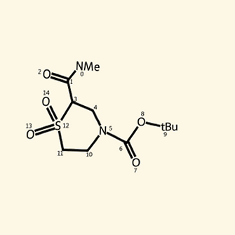 CNC(=O)C1CN(C(=O)OC(C)(C)C)CCS1(=O)=O